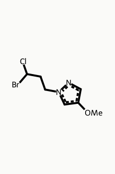 COc1cnn(CCC(Cl)Br)c1